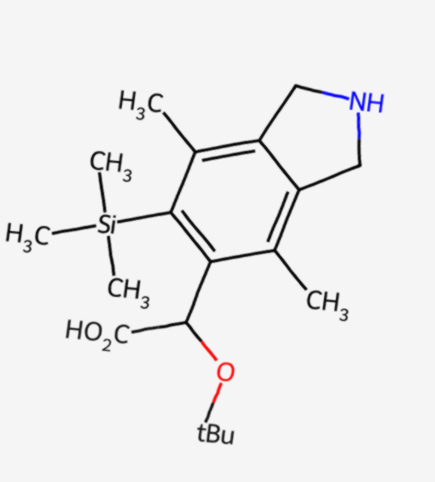 Cc1c2c(c(C)c([Si](C)(C)C)c1C(OC(C)(C)C)C(=O)O)CNC2